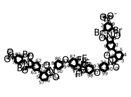 O=C1c2cccc(-c3ccc4c(c3)C(=O)N(c3c(Br)cc([N+](=O)[O-])cc3Br)C4=O)c2C(=O)N1c1ccc(Oc2ccc(C(c3ccc(Oc4ccc(N5C(=O)c6cccc(-c7ccc8c(c7)C(=O)N(c7c(Br)cc([N+](=O)[O-])cc7Br)C8=O)c6C5=O)cc4)cc3)(C(F)(F)F)C(F)(F)F)cc2)cc1